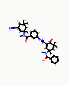 CN(C(=O)c1ccccc1)C1(C)C=C(C#[N+]c2cccc(C(=O)N(C)C3(C)C=C(C#N)C(=O)C(C)(C)C3)c2)C(=O)C(C)(C)C1